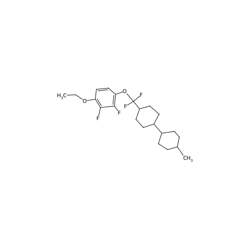 CCOc1ccc(OC(F)(F)C2CCC(C3CCC(C)CC3)CC2)c(F)c1F